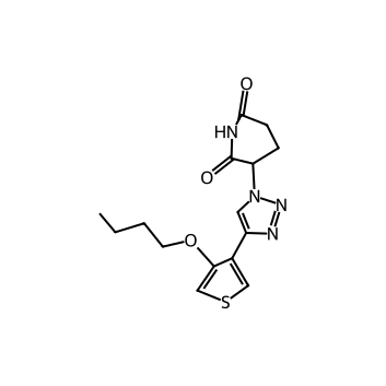 CCCCOc1cscc1-c1cn(C2CCC(=O)NC2=O)nn1